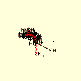 CCCCCCCCCCCCC/C=C/[C@@H](O)[C@H](CO[C@@H]1OC(CO)[C@@H](O[C@@H]2OC(CO)[C@H](O)[C@H](O[C@@H]3OC(CO)[C@@H](O[C@@H]4OC(CO)[C@H](O)[C@H](O[C@@H]5OC(CO)[C@@H](O[C@H]6OC(C)[C@@H](O)C(O)[C@@H]6O)[C@H](O[C@@H]6OC(CO)[C@H](O)[C@H](O)C6O)C5NC(C)=O)C4O)[C@H](O)C3NC(C)=O)C2O)[C@H](O)C1O)NC(=O)CCCCCCCCCCCCCCCCCCCCCCC